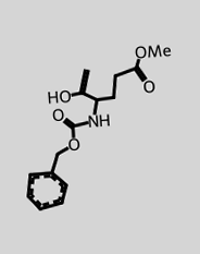 C=C(O)C(CCC(=O)OC)NC(=O)OCc1ccccc1